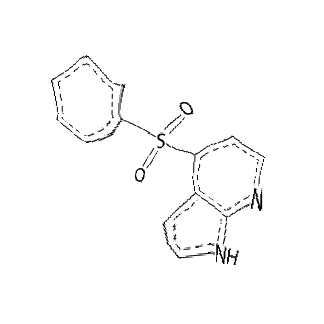 O=S(=O)(c1ccccc1)c1ccnc2[nH]ccc12